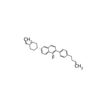 C=CCCc1ccc(-c2ccc3cc([C@H]4CC[C@H](C=C)CC4)ccc3c2F)cc1